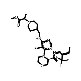 C=C(/N=C\C(=C/C)C(F)(F)F)[C@H]1COCCN1c1ncnc(NCC2CCN(C(C)C(=O)OC)CC2)c1F